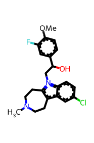 COc1ccc(C(O)Cn2c3c(c4cc(Cl)ccc42)CCN(C)CC3)cc1F